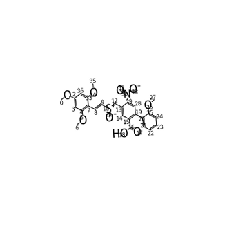 COc1cc(OC)c(C=C[S+]([O-])Cc2cc(C(=O)O)c(-c3ccccc3OC)cc2[N+](=O)[O-])c(OC)c1